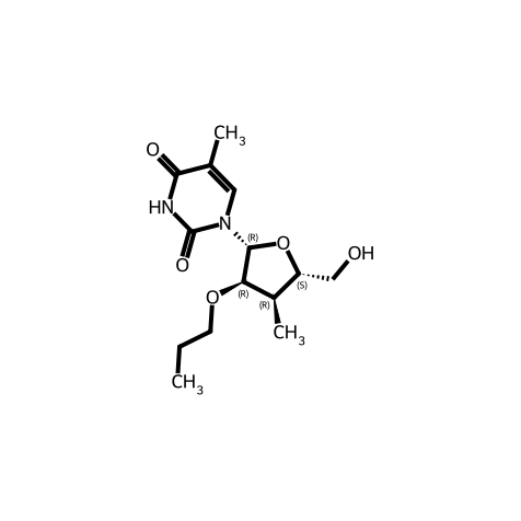 CCCO[C@@H]1[C@H](C)[C@@H](CO)O[C@H]1n1cc(C)c(=O)[nH]c1=O